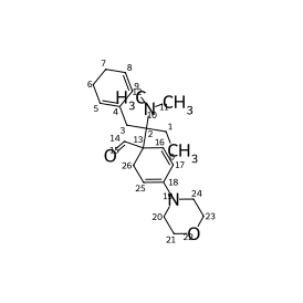 CCC(CC1=CCCC=C1)(N(C)C)C1(C=O)C=CC(N2CCOCC2)=CC1